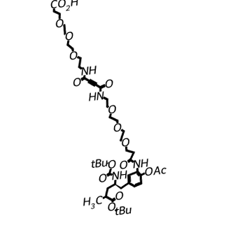 CC(=O)Oc1ccc(C[C@@H](CC(C)C(=O)OC(C)(C)C)NC(=O)OC(C)(C)C)cc1NC(=O)CCOCCOCCOCCNC(=O)C#CC(=O)NCCOCCOCCOCCC(=O)O